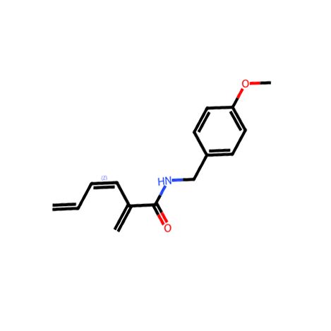 C=C/C=C\C(=C)C(=O)NCc1ccc(OC)cc1